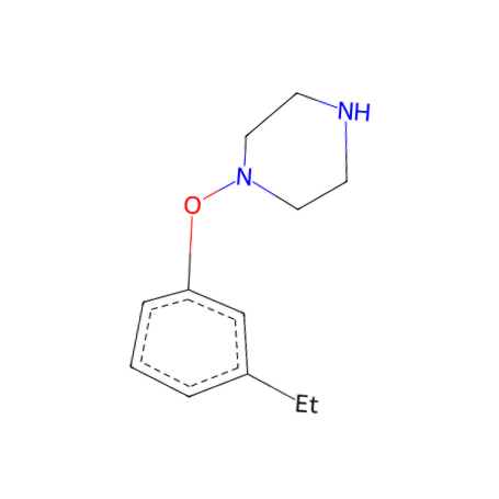 CCc1cccc(ON2CCNCC2)c1